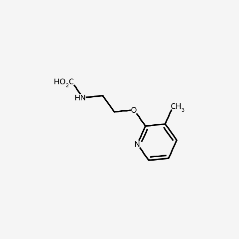 Cc1cccnc1OCCNC(=O)O